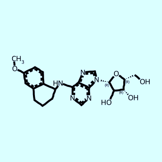 COc1ccc2c(c1)CCCC2Nc1ncnc2c1ncn2[C@@H]1O[C@H](CO)[C@H](O)C1O